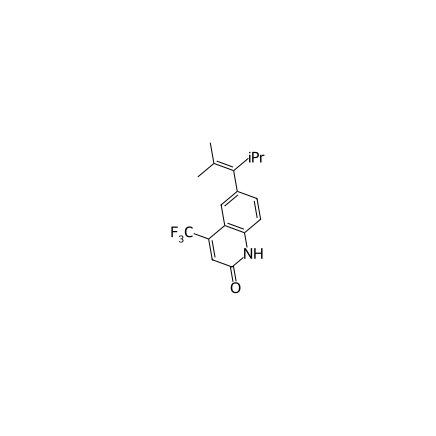 CC(C)=C(c1ccc2[nH]c(=O)cc(C(F)(F)F)c2c1)C(C)C